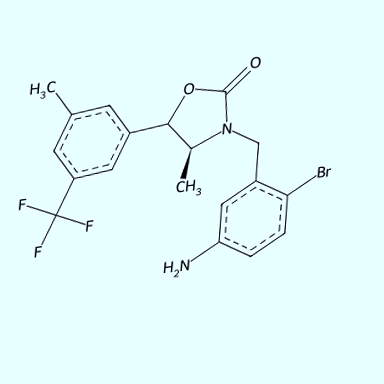 Cc1cc(C2OC(=O)N(Cc3cc(N)ccc3Br)[C@H]2C)cc(C(F)(F)F)c1